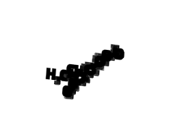 CCC(C)c1cc(C2=CCC(c3ccc(OCC4CO4)cc3)C=C2)ccc1OCC1CO1